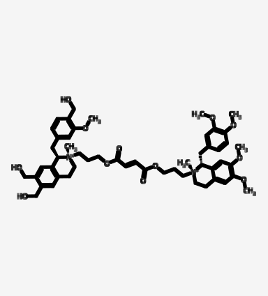 COc1cc(C[C@@H]2c3cc(CO)c(CO)cc3CC[N@+]2(C)CCCOC(=O)/C=C/C(=O)OCCC[N@@+]2(C)CCc3cc(OC)c(OC)cc3[C@H]2Cc2ccc(OC)c(OC)c2)ccc1CO